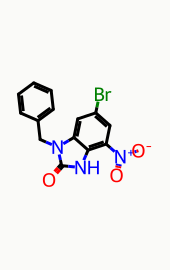 O=c1[nH]c2c([N+](=O)[O-])cc(Br)cc2n1Cc1ccccc1